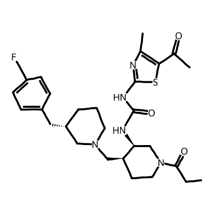 CCC(=O)N1CC[C@@H](CN2CCC[C@@H](Cc3ccc(F)cc3)C2)[C@@H](NC(=O)Nc2nc(C)c(C(C)=O)s2)C1